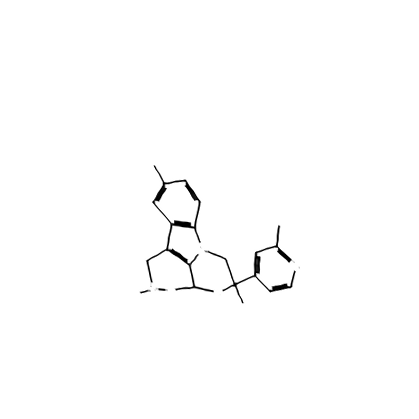 Cc1ccc2c(c1)c1c3n2CC(C)(c2ccnc(C)c2)SC3CN(C)C1